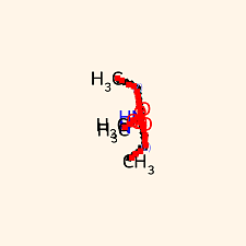 CCCCCCCC/C=C\CCCCCCCC(=O)OCC(COC(=O)CCCCCCC/C=C\CCCCCCCC)NC(=O)OCCCN(C)C